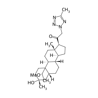 CO[C@@H](C)C12CC[C@@](C)(O)C[C@H]1CC[C@@H]1[C@@H]2CC[C@]2(C)[C@@H](C(=O)Cn3nnc(C)n3)CC[C@@H]12